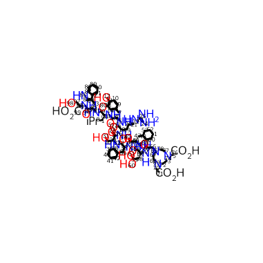 CC(C)C[C@H](NC(=O)[C@H](Cc1ccc(O)cc1)NC(=O)C(CCCNC(=N)N)NC(=O)C(CO)NC(=O)C(Cc1ccccc1)NC(=O)[C@H](CC1CCCCC1)NC(=O)[C@H](CC(O)O)NC(=O)CN1CCN(CC(=O)O)CCN(CC(=O)O)CC1)C(=O)N[C@@H](Cc1c[nH]c2ccccc12)C(=O)N[C@@H](CO)C(=O)O